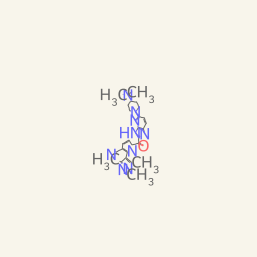 Cc1nn(C)c(C)c1-c1nc(C(=O)c2nc3ccc(N4CCC(N(C)C)CC4)nc3[nH]2)ccc1C#N